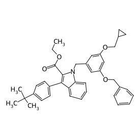 CCOC(=O)c1c(-c2ccc(C(C)(C)C)cc2)c2ccccc2n1Cc1cc(OCc2ccccc2)cc(OCC2CC2)c1